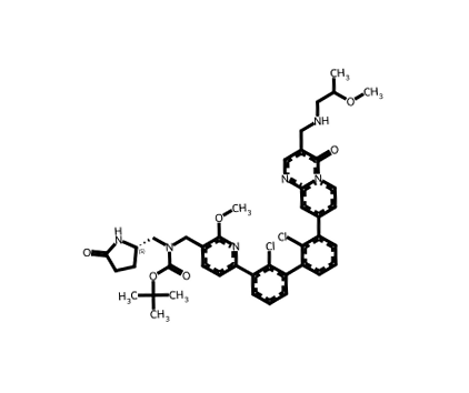 COc1nc(-c2cccc(-c3cccc(-c4ccn5c(=O)c(CNCC(C)OC)cnc5c4)c3Cl)c2Cl)ccc1CN(C[C@@H]1CCC(=O)N1)C(=O)OC(C)(C)C